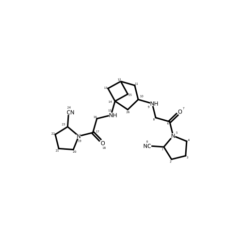 N#CC1CCCN1C(=O)CNC1CC2CC(NCC(=O)N3CCCC3C#N)(C2)C1